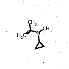 C=C(C)N(C)C1CC1